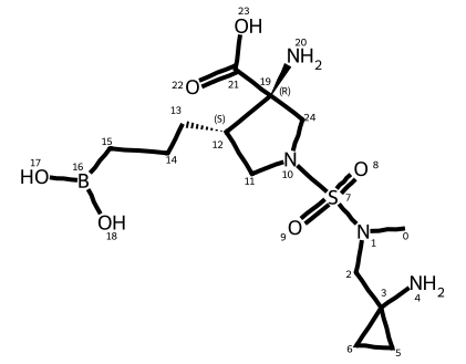 CN(CC1(N)CC1)S(=O)(=O)N1C[C@H](CCCB(O)O)[C@](N)(C(=O)O)C1